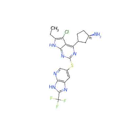 CCc1[nH]c2nc(Sc3cnc4[nH]c(C(F)(F)F)nc4c3)nc(C3CC[C@@H](N)C3)c2c1Cl